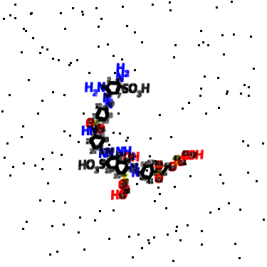 Nc1cc(N)c(S(=O)(=O)O)cc1/N=N/c1ccc(S(=O)(=O)Nc2ccc(/N=N/c3c(S(=O)(=O)O)cc4cc(SOOO)c(/N=N/c5ccc(S(=O)(=O)CCOSOOO)cc5)c(O)c4c3N)cc2)cc1